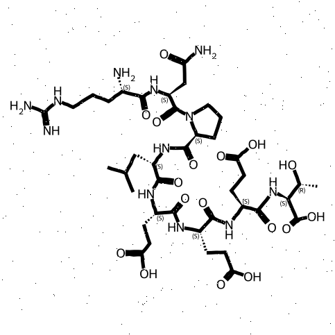 CC(C)C[C@H](NC(=O)[C@@H]1CCCN1C(=O)[C@H](CC(N)=O)NC(=O)[C@@H](N)CCCNC(=N)N)C(=O)N[C@@H](CCC(=O)O)C(=O)N[C@@H](CCC(=O)O)C(=O)N[C@@H](CCC(=O)O)C(=O)N[C@H](C(=O)O)[C@@H](C)O